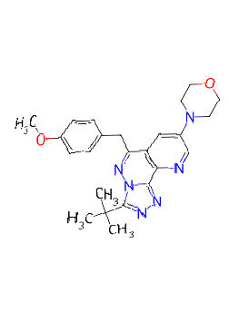 COc1ccc(Cc2nn3c(C(C)(C)C)nnc3c3ncc(N4CCOCC4)cc23)cc1